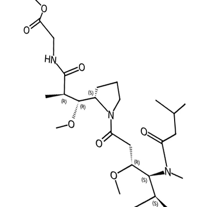 CC[C@H](C)[C@@H]([C@@H](CC(=O)N1CCC[C@H]1[C@H](OC)[C@@H](C)C(=O)NCC(=O)OC)OC)N(C)C(=O)CC(C)C